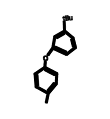 Cc1ccc(Oc2cccc(C(C)(C)C)c2)cc1